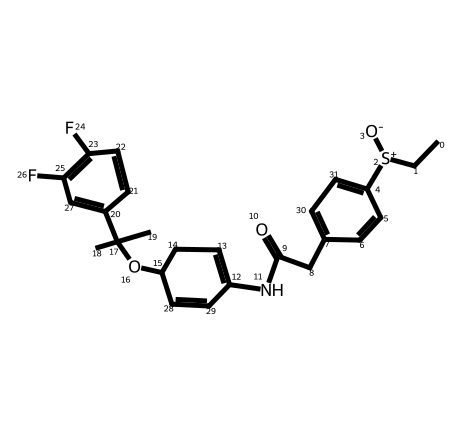 CC[S+]([O-])c1ccc(CC(=O)NC2=CCC(OC(C)(C)c3ccc(F)c(F)c3)C=C2)cc1